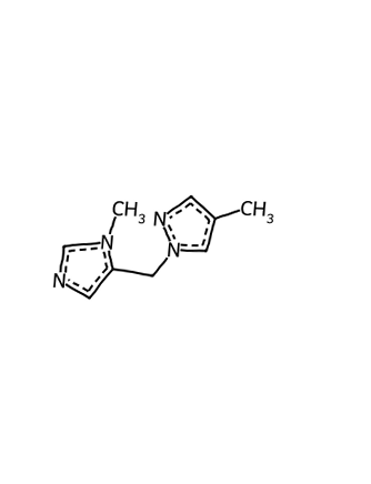 Cc1cnn(Cc2cncn2C)c1